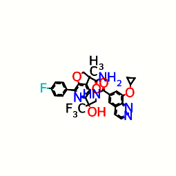 C[C@]1(C(N)=O)COc2c1cc(C(O)(CNC(=O)c1cc(OC3CC3)c3nnccc3c1)C(F)(F)F)nc2-c1ccc(F)cc1